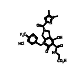 Cc1cc(C(=O)N2Cc3c(O)c(C(=O)NCC(=O)O)c(=O)n(Cc4ccc(C(F)(F)F)cc4)c3C2)nn1C.Cl